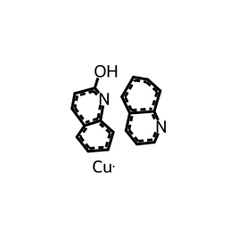 Oc1ccc2ccccc2n1.[Cu].c1ccc2ncccc2c1